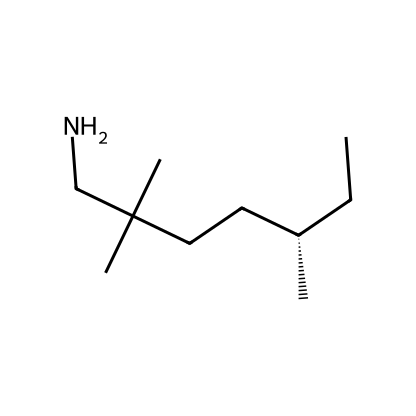 CC[C@H](C)CCC(C)(C)CN